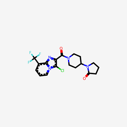 O=C(c1nc2c(C(F)(F)F)cccn2c1Cl)N1CCC(N2CCCC2=O)CC1